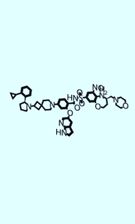 O=C(NS(=O)(=O)c1cc2c(c([N+](=O)[O-])c1)N[C@@H](CN1CCOCC1)CCO2)c1ccc(N2CCC3(CC2)CC(N2CCC[C@H]2c2ccccc2C2CC2)C3)cc1Oc1cnc2[nH]ccc2c1